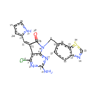 Nc1nc(Cl)c2c(n1)N(Cc1ccc3ncsc3c1)C(=O)/C2=C\c1ccc[nH]1